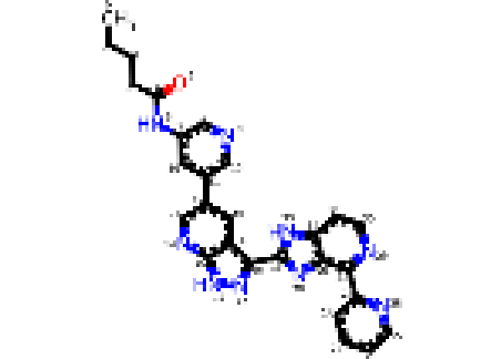 CCCCC(=O)Nc1cncc(-c2cnc3[nH]nc(-c4nc5c(-c6ccccn6)nccc5[nH]4)c3c2)c1